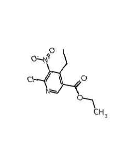 CCOC(=O)c1cnc(Cl)c([N+](=O)[O-])c1CI